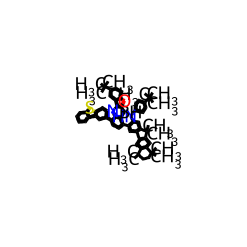 CC(C)(C)c1ccc(Nc2cc3c(cc2-c2ccc4c5cc6c(cc5n5c4c2Bc2oc4ccc(C(C)(C)C)cc4c2-5)sc2ccccc26)-c2cc4c(cc2C3(C)C)C(C)(C)CCC4(C)C)cc1